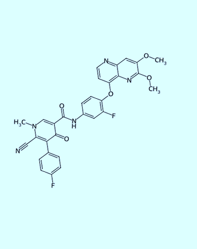 COc1cc2nccc(Oc3ccc(NC(=O)c4cn(C)c(C#N)c(-c5ccc(F)cc5)c4=O)cc3F)c2nc1OC